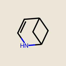 C1=CC2CC(C2)N1